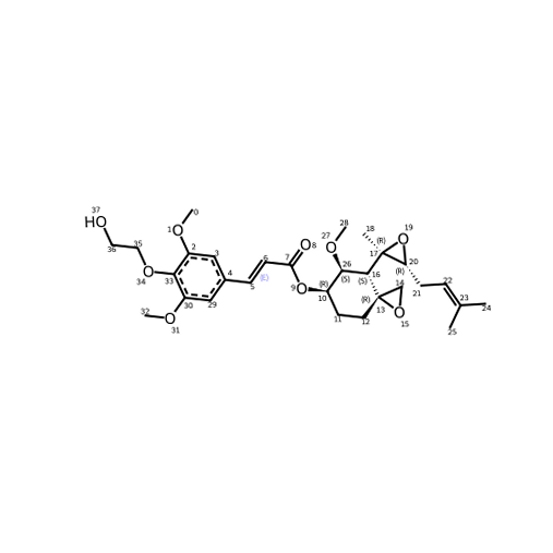 COc1cc(/C=C/C(=O)O[C@@H]2CC[C@]3(CO3)[C@@H]([C@@]3(C)O[C@@H]3CC=C(C)C)[C@@H]2OC)cc(OC)c1OCCO